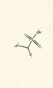 CCCC([O])S(=O)(=O)C(C)(C)C